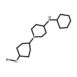 CC(C)OC1CCC(N2CCC(NC3CCCCC3)CC2)CC1